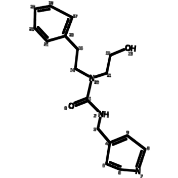 O=C(NCc1ccncc1)N(CCO)CCc1ccccc1